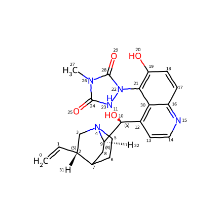 C=C[C@@H]1CN2CCC1C[C@@H]2[C@@H](O)c1ccnc2ccc(O)c(-n3[nH]c(=O)n(C)c3=O)c12